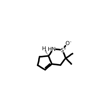 CC1(C)CC2=CCC[C@H]2N[S+]1[O-]